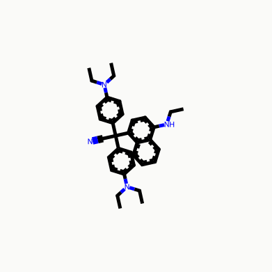 CCNc1ccc(C(C#N)(c2ccc(N(CC)CC)cc2)c2ccc(N(CC)CC)cc2)c2ccccc12